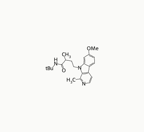 COc1ccc2c3ccnc(C)c3n(CCC(C)C(=O)NC(C)(C)C)c2c1